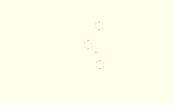 O=C(Oc1ccc(O)cc1)c1cc(O)cc(C(=O)Oc2ccc(O)cc2)c1